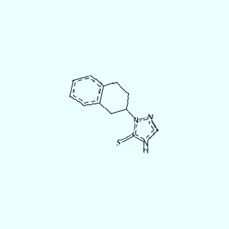 S=c1[nH]cnn1C1CCc2ccccc2C1